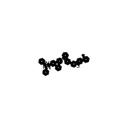 CSc1ccccc1-c1ccc2c(c1)sc1ccc(-c3ccc4c(c3)c3ccccc3n4-c3ccc4c5ccc(-c6nc(C7=CCCC=C7)nc(-c7ccccc7)n6)cc5c5ccccc5c4c3)cc12